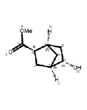 COC(=O)[C@@H]1C[C@H]2C[C@@H]1C[C@@H]2O